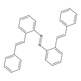 C(=C\c1ccccc1/N=N/c1ccccc1/C=C/c1ccccc1)/c1ccccc1